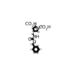 O=C(NC[C@@H]1C[C@@H](C(=O)O)N(C(=O)O)C1)OCc1ccccc1